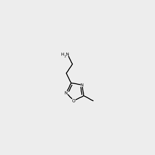 Cc1nc(CCN)no1